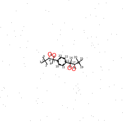 CC(C)(C)C1OOC1(C)c1ccc(C2(C)OOC2C(C)(C)C)cc1